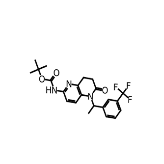 CC(c1cccc(C(F)(F)F)c1)N1C(=O)CCc2nc(NC(=O)OC(C)(C)C)ccc21